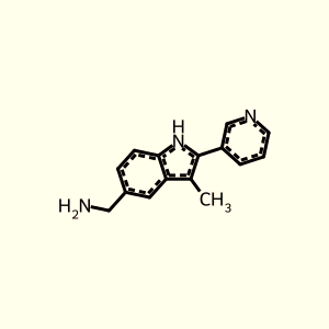 Cc1c(-c2cccnc2)[nH]c2ccc(CN)cc12